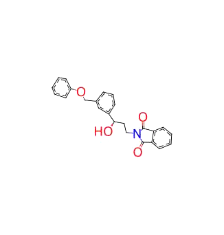 O=C1c2ccccc2C(=O)N1CC[C@@H](O)c1cccc(COc2ccccc2)c1